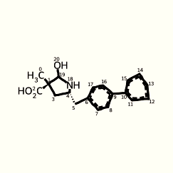 C[C@@]1(C(=O)O)C[C@@H](Cc2ccc(-c3ccccc3)cc2)NC1O